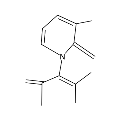 C=C(C)C(=C(C)C)N1C=CC=C(C)C1=C